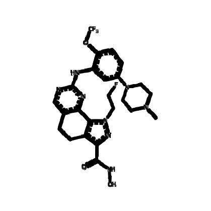 CN1CCN(c2ccc(OC(F)(F)F)c(Nc3ncc4c(n3)-c3c(c(C(=O)NO)nn3CCF)CC4)c2)CC1